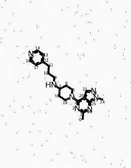 Cc1nc(N2CCC(NCCCc3ccncc3)CC2)c2cnn(C)c2n1